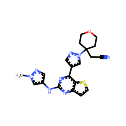 Cn1cc(Nc2nc(-c3cnn(C4(CC#N)CCOCC4)c3)c3sccc3n2)cn1